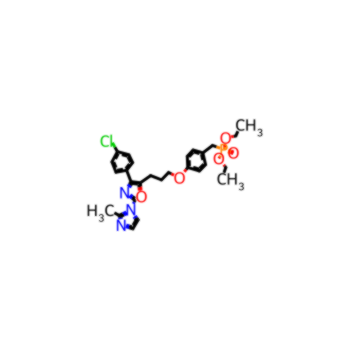 CCOP(=O)(Cc1ccc(OCCCc2oc(-n3ccnc3C)nc2-c2ccc(Cl)cc2)cc1)OCC